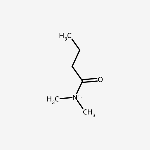 CCCC(=O)[N+](C)C